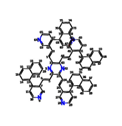 C(=Cc1nc(C=Cc2cnccc2-c2cccc3ccccc23)c(C=Cc2cnccc2-c2cccc3ccccc23)nc1C=Cc1cnccc1-c1cccc2ccccc12)c1cnccc1-c1cccc2ccccc12